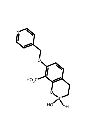 O=C(O)c1c(OCc2ccncc2)ccc2c1O[B-](O)(O)CC2